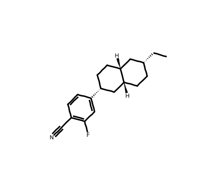 CC[C@@H]1CC[C@@H]2C[C@H](c3ccc(C#N)c(F)c3)CC[C@@H]2C1